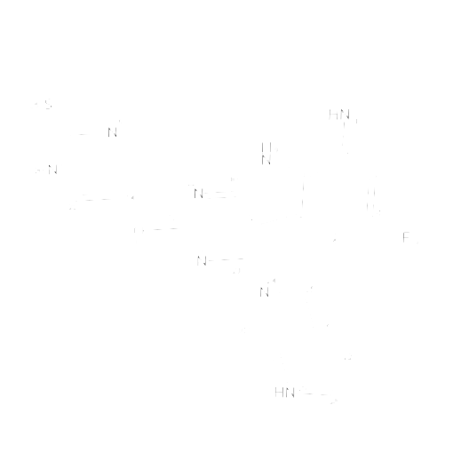 CNc1cc(F)cc2c1[nH]c1nc(Oc3cnc(SC)nc3)nc(N3CC4CCNC4C3)c12